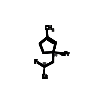 CCC[C@]1(C[C@@H](F)CC)C=C(C)CC1